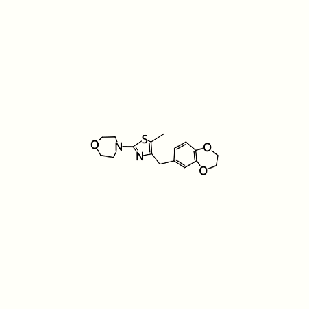 Cc1sc(N2CCOCC2)nc1Cc1ccc2c(c1)OCCO2